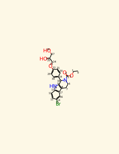 CCOC(=O)N1CCc2c([nH]c3ccc(Br)cc23)C1c1ccc(OCC(O)CO)cc1